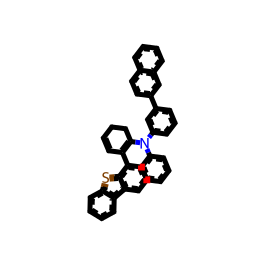 C1=CC(c2cccc3c2sc2ccccc23)=C(N(c2ccccc2)c2cccc(-c3ccc4ccccc4c3)c2)CC1